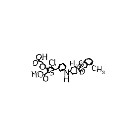 Cc1cccc(C)c1CS(=O)(=O)N1CCC(Nc2cccc(-c3sc(C(=O)O)c(OCC(=O)O)c3Cl)c2)CC1